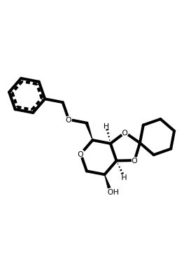 O[C@H]1CO[C@@H](COCc2ccccc2)[C@H]2OC3(CCCCC3)O[C@H]21